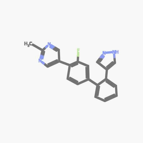 Cc1ncc(-c2ccc(-c3ccccc3-c3cn[nH]c3)cc2F)cn1